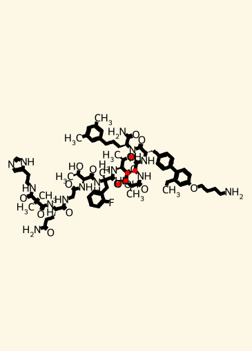 CCc1cc(OCCCCN)ccc1-c1ccc(C[C@H](NC(=O)[C@H](CC(=O)O)NC(=O)[C@H](C)NC(=O)[C@@H](NC(=O)[C@](C)(Cc2ccccc2F)NC(=O)[C@@H](NC(=O)CNC(=O)[C@H](CCC(N)=O)NC(=O)C(C)(C)C(=O)NCCc2cnc[nH]2)[C@@H](C)O)[C@@H](C)O)C(=O)N[C@@H](CCCc2cc(C)cc(C)c2)C(N)=O)cc1